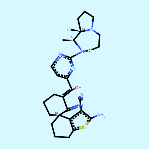 C[C@H]1[C@@H]2CCCN2CCCN1c1nccc(/C(O)=C2\CCC[C@@]3(CCCc4sc(N)c(C#N)c43)C2=N)n1